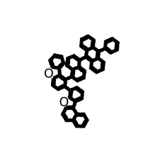 c1ccc(-c2c3ccccc3c(-c3cccc4c(-c5c(-c6cccc7c6oc6ccc8ccccc8c67)ccc6oc7ccccc7c56)cccc34)c3ccccc23)cc1